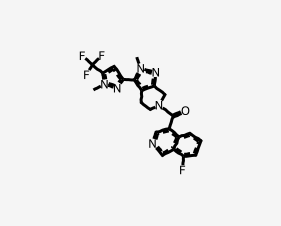 Cn1nc(-c2c3c(nn2C)CN(C(=O)c2cncc4c(F)cccc24)CC3)cc1C(F)(F)F